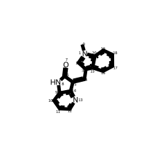 Cn1cc(/C=C2\C(=O)Nc3cccnc32)c2ccccc21